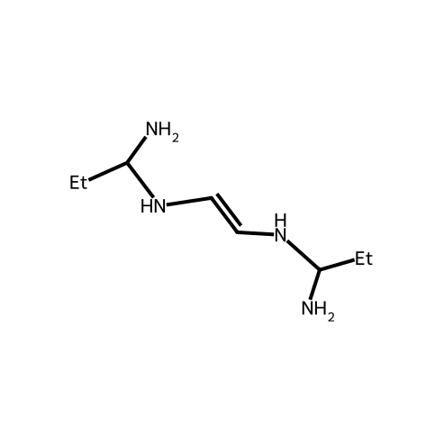 CCC(N)N/C=C/NC(N)CC